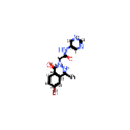 CC(C)c1nn(CC(=O)Nc2cncnc2)c(=O)c2ccc(Br)cc12